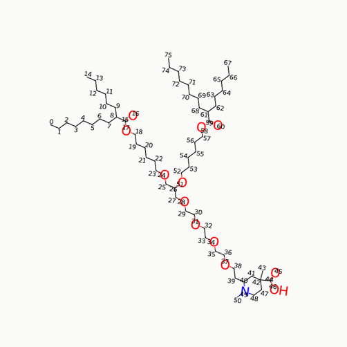 CCCCCCCCC(CCCCCC)C(=O)OCCCCCCOCC(COCCOCCOCCOCCC1CC(C)(C(=O)O)CCN1C)OCCCCCCOC(=O)C(CCCCCC)CCCCCCCC